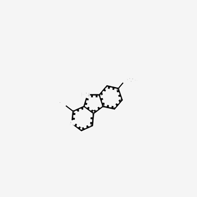 COc1ccc2c(c1)[nH]c1c(C(C)=O)nccc12